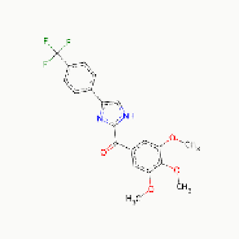 COc1cc(C(=O)c2nc(-c3ccc(C(F)(F)F)cc3)c[nH]2)cc(OC)c1OC